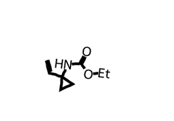 C=CC1(NC(=O)OCC)CC1